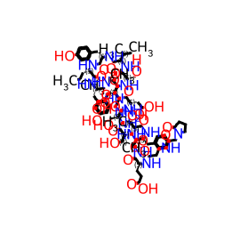 CC[C@H](C)[C@H](NC(=O)[C@H](CO)NC(=O)[C@H](Cc1ccc(O)cc1)NC(=O)[C@H](CC(=O)O)NC(=O)[C@H](CO)NC(=O)[C@@H](NC(=O)[C@H](Cc1ccccc1)NC(=O)[C@@H](NC(=O)CNC(=O)[C@H](CCC(=O)O)NC(=O)CCNC(=O)CN1CCCC1=O)[C@@H](C)O)[C@@H](C)O)C(=O)N[C@@H](Cc1ccc(O)cc1)C(=O)N[C@@H](CC(C)C)C(=O)N[C@@H](CC(=O)O)C(=O)N[C@H](C)CCCCN